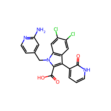 Nc1cc(Cn2c(C(=O)O)c(-c3ccc[nH]c3=O)c3cc(Cl)c(Cl)cc32)ccn1